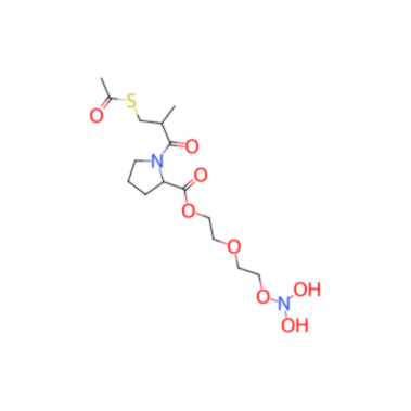 CC(=O)SCC(C)C(=O)N1CCCC1C(=O)OCCOCCON(O)O